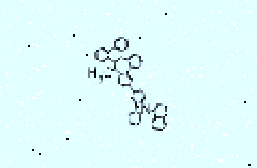 CC1c2ccc(-c3ccc4c(c3)c3ccccc3n4-c3cccc4ccccc34)cc2-c2ccccc2CC1c1ccccc1-c1ccccc1